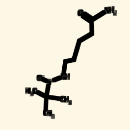 CC(C)(C)[S+]([O-])NCCCCC(N)=O